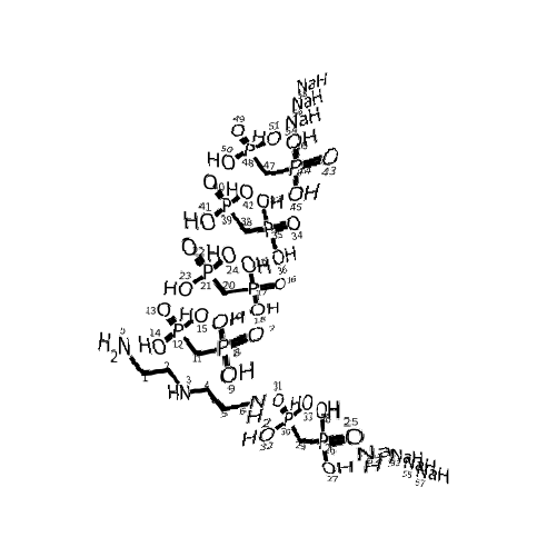 NCCNCCN.O=P(O)(O)CP(=O)(O)O.O=P(O)(O)CP(=O)(O)O.O=P(O)(O)CP(=O)(O)O.O=P(O)(O)CP(=O)(O)O.O=P(O)(O)CP(=O)(O)O.[NaH].[NaH].[NaH].[NaH].[NaH].[NaH].[NaH]